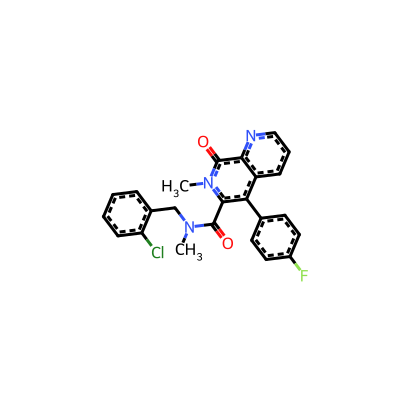 CN(Cc1ccccc1Cl)C(=O)c1c(-c2ccc(F)cc2)c2cccnc2c(=O)n1C